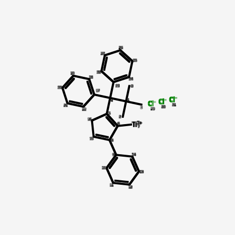 CC(C)(C)C(C1=[C]([Ti+3])C(c2ccccc2)=CC1)(c1ccccc1)c1ccccc1.[Cl-].[Cl-].[Cl-]